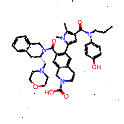 CCCN(C(=O)c1cc(-c2cc3c(cc2C(=O)N2Cc4ccccc4C[C@H]2CN2CCOCC2)CN(C(=O)O)CC3)n(C)c1C)c1ccc(O)cc1